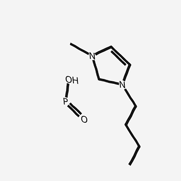 CCCCN1C=CN(C)C1.O=PO